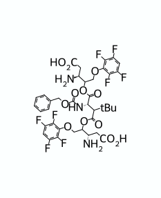 CC(C)(C)C(C(=O)OC(COc1c(F)c(F)cc(F)c1F)[C@@H](N)CC(=O)O)[C@H](NC(=O)OCc1ccccc1)C(=O)OC(COc1c(F)c(F)cc(F)c1F)[C@@H](N)CC(=O)O